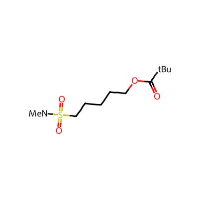 CNS(=O)(=O)CCCCCOC(=O)C(C)(C)C